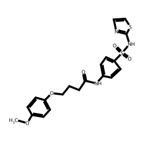 COc1ccc(OCCCC(=O)Nc2ccc(S(=O)(=O)Nc3nccs3)cc2)cc1